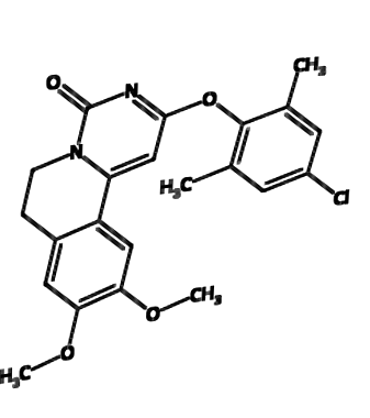 COc1cc2c(cc1OC)-c1cc(Oc3c(C)cc(Cl)cc3C)nc(=O)n1CC2